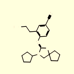 CCCc1cc(C#N)ccc1/N=C1\SC2(CCCC2)CN1C1CCCC1